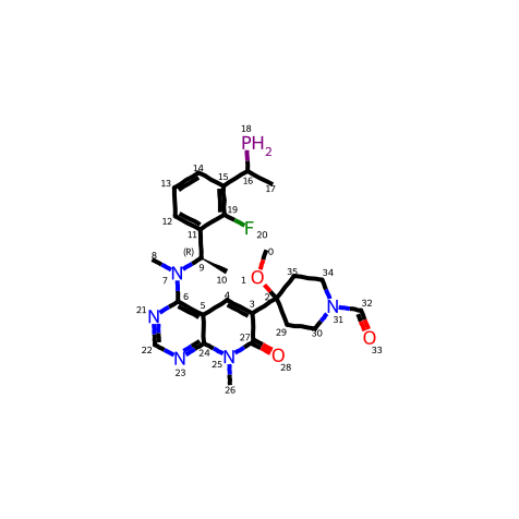 COC1(c2cc3c(N(C)[C@H](C)c4cccc(C(C)P)c4F)ncnc3n(C)c2=O)CCN(C=O)CC1